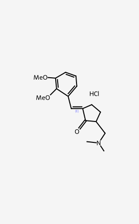 COc1cccc(/C=C2\CCC(CN(C)C)C2=O)c1OC.Cl